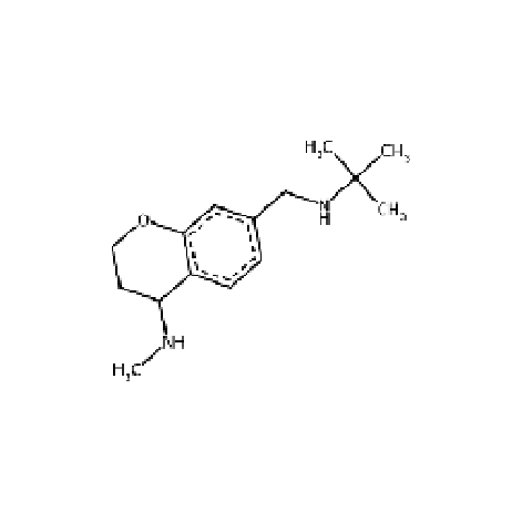 CNC1CCOc2cc(CNC(C)(C)C)ccc21